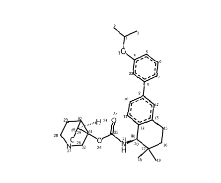 CC(C)Oc1cccc(-c2ccc3c(c2)CCC(C)(C)[C@H]3NC(=O)O[C@H]2CN3CCC2CC3)c1